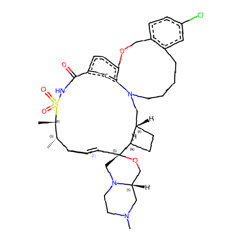 C[C@@H]1[C@@H](C)C/C=C/[C@]2(CN3CCN(C)C[C@H]3CO2)[C@@H]2CC[C@H]2CN2CCCCc3cc(Cl)ccc3COc3ccc(cc32)C(=O)NS1(=O)=O